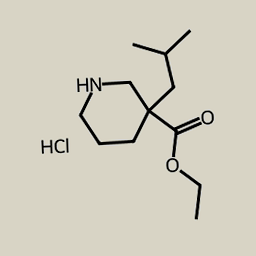 CCOC(=O)C1(CC(C)C)CCCNC1.Cl